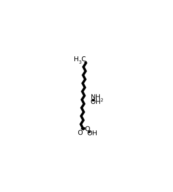 CCCCCCCCCCCCCCCCCC(=O)OO.NO